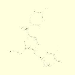 CNCc1cc(C(=O)N2CCN(C(C)C)CC2)ccc1Oc1ccc(S)c(C)c1